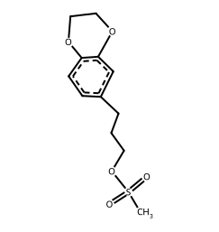 CS(=O)(=O)OCCCc1ccc2c(c1)OCCO2